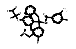 CN(C)Cc1cc(C(Cc2ccccc2)(NC(=O)c2ccc(F)c(C(F)(F)F)c2)c2ccc(OC(F)(F)C(F)F)cc2F)ccc1F